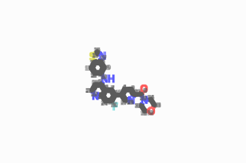 O=C(c1ccc(-c2cc3c(Nc4ccc5scnc5c4)ccnc3cc2F)cn1)N1CCOCC1